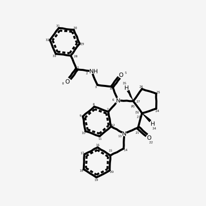 O=C(NCC(=O)N1c2ccccc2N(Cc2ccccc2)C(=O)[C@H]2CCC[C@H]21)c1ccccc1